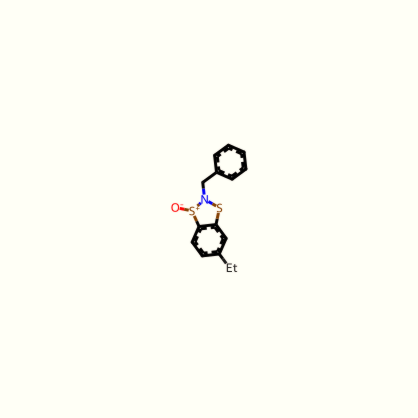 CCc1ccc2c(c1)SN(Cc1ccccc1)[S+]2[O-]